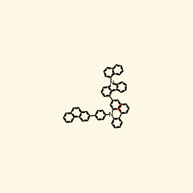 c1ccc(-c2ccccc2N(c2ccc(-c3ccc4c(ccc5ccccc54)c3)cc2)c2cccc(-c3cccc4c3c3ccccc3n4-c3cccc4ccccc34)c2)cc1